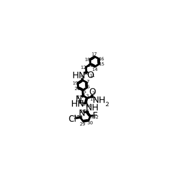 NC(=O)c1c(-c2ccc(NC(=O)Cc3ccccc3)cc2)n[nH]c1Nc1nc(Cl)ccc1F